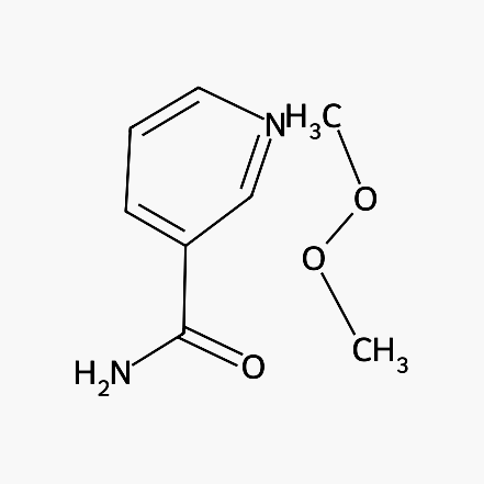 COOC.NC(=O)c1cccnc1